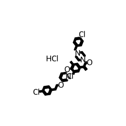 C=C(C(=O)N1CCN(Cc2ccc(Cl)cc2)CC1)c1cc(C)c(Oc2ccc(OCCc3ccc(Cl)cc3)cn2)c(Cl)c1.Cl